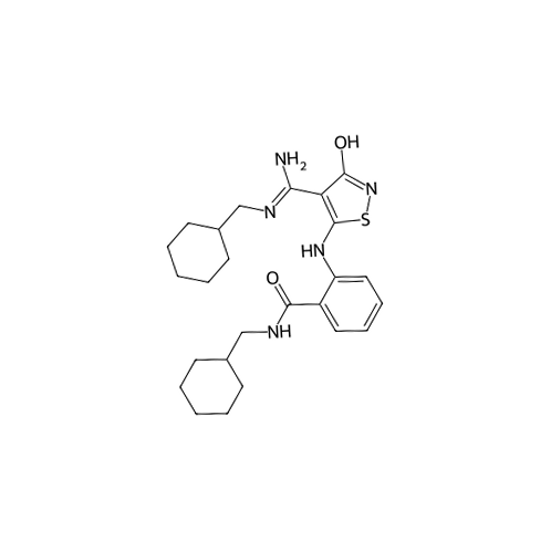 NC(=NCC1CCCCC1)c1c(O)nsc1Nc1ccccc1C(=O)NCC1CCCCC1